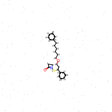 O=C1CCN1SC(CCOCCCCCCc1ccccc1)c1ccccc1